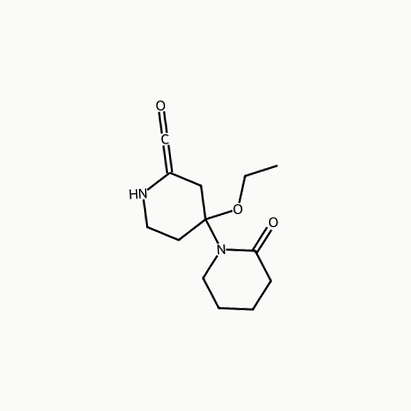 CCOC1(N2CCCCC2=O)CCNC(=C=O)C1